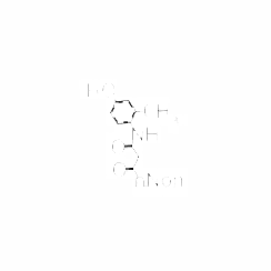 CCCCCCCCCC(=O)CC(=O)Nc1ccc(O)cc1C